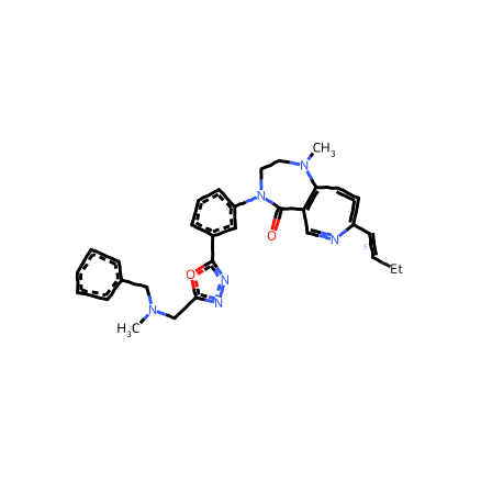 CC/C=C/C1=C=CC2=C(C=N1)C(=O)N(c1cccc(-c3nnc(CN(C)Cc4ccccc4)o3)c1)CCN2C